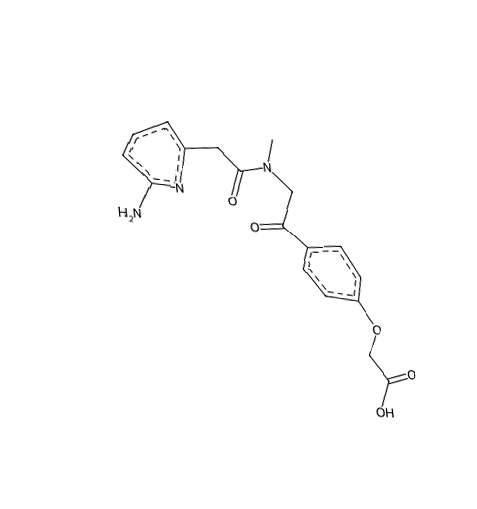 CN(CC(=O)c1ccc(OCC(=O)O)cc1)C(=O)Cc1cccc(N)n1